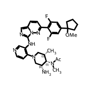 COC1(c2cc(F)c(-c3ccc4cnc(Nc5cnccc5N5C[C@@H](N)[C@@H](N(C)C(C)=O)[C@@H](C)C5)n4n3)c(F)c2)CCCC1